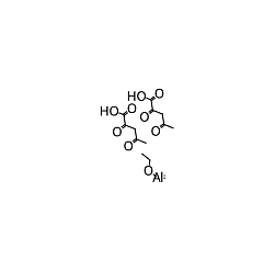 CC(=O)CC(=O)C(=O)O.CC(=O)CC(=O)C(=O)O.CC[O][Al]